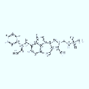 NS(=O)(=O)NCC1OC(n2cnc3c(N[C@@H](CO)c4ccccc4)ncnc32)[C@H](O)[C@@H]1O